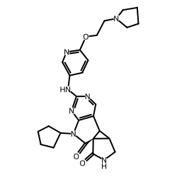 O=C1NCC2C3c4cnc(Nc5ccc(OCCN6CCCC6)nc5)nc4N(C4CCCC4)C(=O)[C@]123